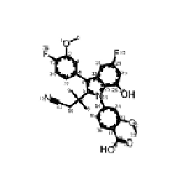 COc1cc(-c2c(C(C)(C)CC#N)n(-c3ccc(C(=O)O)c(OC)c3)c3c(O)cc(F)cc23)ccc1F